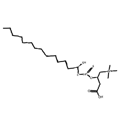 CCCCCCCCCCCCC[C@@H](S)O[PH](=S)OC(CC(=O)O)C[N+](C)(C)C